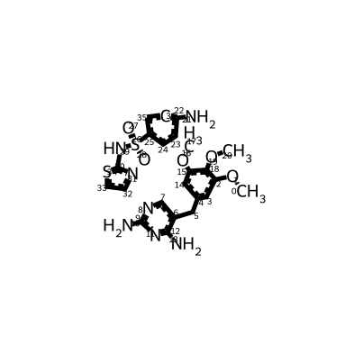 COc1cc(Cc2cnc(N)nc2N)cc(OC)c1OC.Nc1ccc(S(=O)(=O)Nc2nccs2)cc1